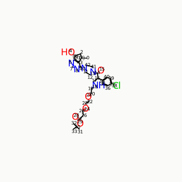 C[C@@H]1C[C@@H](O)c2ncnc(N3CCN(C(=O)C(CNCCOCCOCCC(=O)OC(C)(C)C)c4ccc(Cl)cc4)CC3)c21